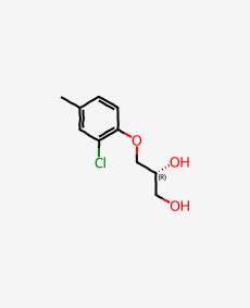 Cc1ccc(OC[C@H](O)CO)c(Cl)c1